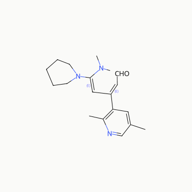 Cc1cnc(C)c(C(=C/C=O)/C=C(\N(C)C)N2CCCCC2)c1